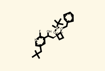 CC(C)(C)Cc1cnc(F)c(C(O)C[C@]2(O[Si](C)(C)C(C)(C)C)CC[C@@H]2OCc2ccccc2)c1